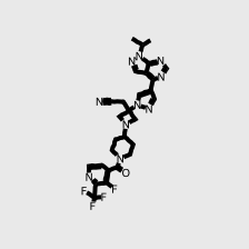 CC(C)n1ncc2c(-c3cnn(C4(CC#N)CN(C5CCN(C(=O)c6ccnc(C(F)(F)F)c6F)CC5)C4)c3)ncnc21